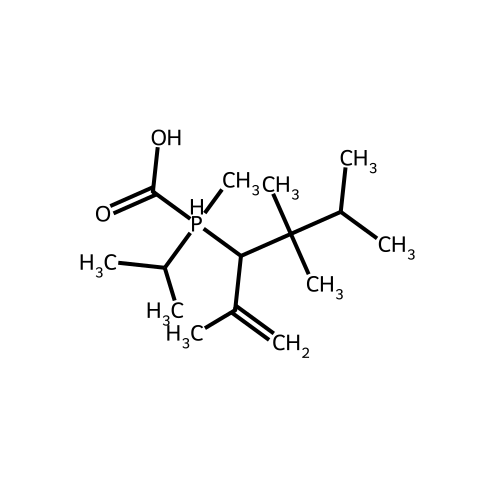 C=C(C)C(C(C)(C)C(C)C)[PH](C)(C(=O)O)C(C)C